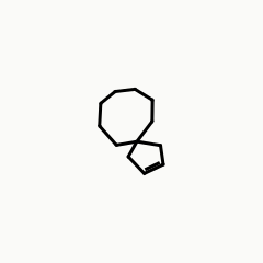 C1=CCC2(C1)CCCCCCC2